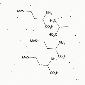 CC(N)C(=O)O.CSCCC(N)C(=O)O.CSCCC(N)C(=O)O.CSCCC(N)C(=O)O